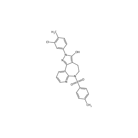 Cc1ccc(S(=O)(=O)N2CCc3c(nn(-c4ccc(C)c(Cl)c4)c3O)-c3cccnc32)cc1